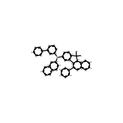 CC1(C)c2ccc(N(c3cccc(-c4ccccc4)c3)c3ccc4ccccc4c3)cc2-c2c(-c3ccccc3)cc3ccccc3c21